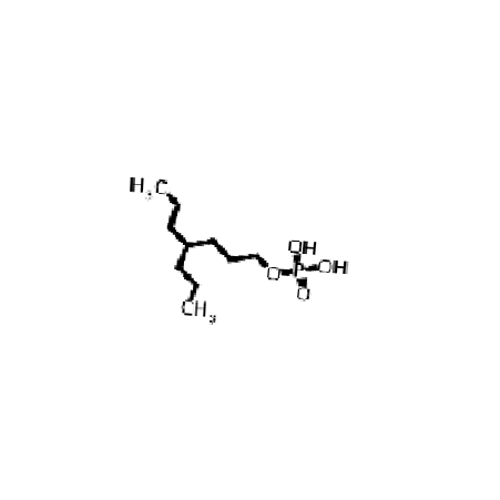 CCCC(CCC)CCCOP(=O)(O)O